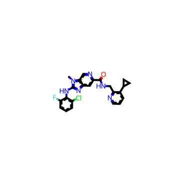 Cn1c(Nc2c(F)cccc2Cl)nc2cc(C(=O)NCc3ncccc3C3CC3)ncc21